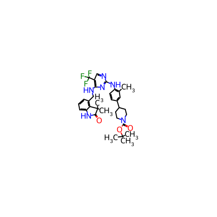 Cc1cc(C2CCN(C(=O)OC(C)(C)C)CC2)ccc1Nc1ncc(C(F)(F)F)c(NCc2cccc3c2C(C)(C)C(=O)N3)n1